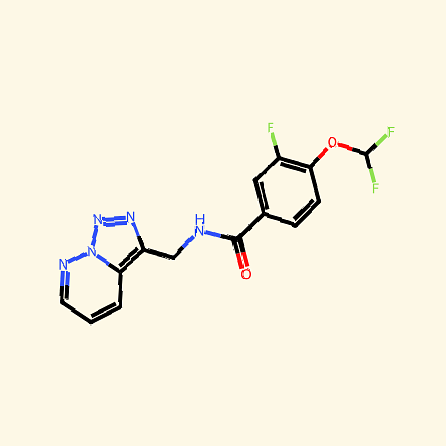 O=C(NCc1nnn2ncccc12)c1ccc(OC(F)F)c(F)c1